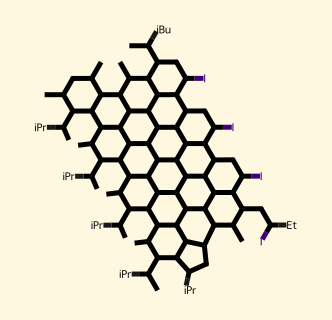 CCC(I)CC1C(C)C2C3CC(C(C)C)C4C(C(C)C(C)C)C(C)C5C6C(C(C)C(C)C)C(C)C7C8C(C(C)C(C)C)C(C)C9C%10C(C(C)C(C)C)C(C)CC(C)C%10C%10C(C)C%11C(C(C)C(C)CC)CC(I)C%12C%13CC(I)C%14C%15CC(I)C1C1C%15C%15C%16C%14C%13C%13C(C%12%11)C%10C9C8C%13C%16C7C6C%15C(C5C34)C21